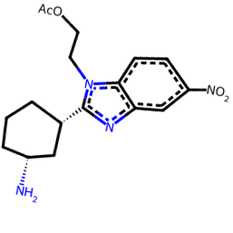 CC(=O)OCCn1c([C@H]2CCC[C@@H](N)C2)nc2cc([N+](=O)[O-])ccc21